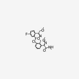 CNC(=O)/C(=N/OC)c1cccc(Cl)c1CO/N=C(/COC)c1ccc(F)cc1F